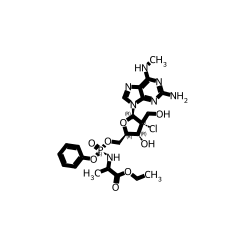 CCOC(=O)C(C)N[P@](=O)(OC[C@H]1O[C@@H](n2cnc3c(NC)nc(N)nc32)[C@@](Cl)(CO)[C@@H]1O)Oc1ccccc1